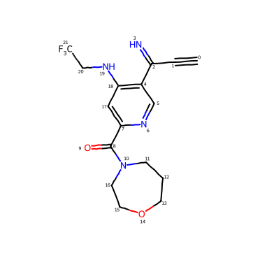 C#CC(=N)c1cnc(C(=O)N2CCCOCC2)cc1NCC(F)(F)F